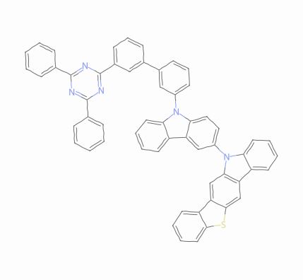 c1ccc(-c2nc(-c3ccccc3)nc(-c3cccc(-c4cccc(-n5c6ccccc6c6cc(-n7c8ccccc8c8cc9sc%10ccccc%10c9cc87)ccc65)c4)c3)n2)cc1